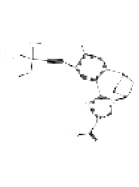 CC(O)(C#Cc1cc2c(cc1F)C1CC(C1)n1cc(C(N)=O)nc1-2)CO